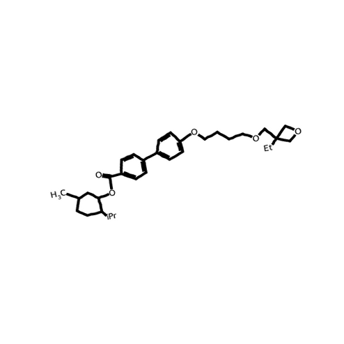 CCC1(COCCCCOc2ccc(-c3ccc(C(=O)OC4CC(C)CCC4C(C)C)cc3)cc2)COC1